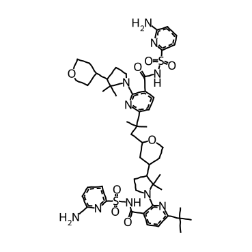 CC(C)(C)c1ccc(C(=O)NS(=O)(=O)c2cccc(N)n2)c(N2CCC(C3CCOC(CC(C)(C)c4ccc(C(=O)NS(=O)(=O)c5cccc(N)n5)c(N5CCC(C6CCOCC6)C5(C)C)n4)C3)C2(C)C)n1